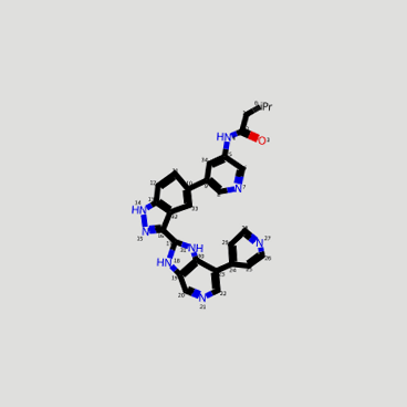 CC(C)CC(=O)Nc1cncc(-c2ccc3[nH]nc(C4Nc5cncc(-c6ccncc6)c5N4)c3c2)c1